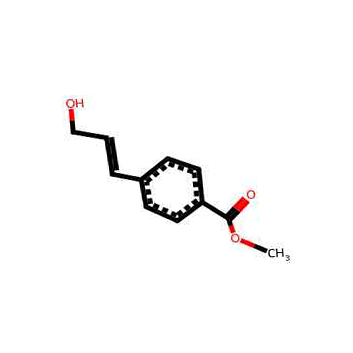 COC(=O)c1ccc(C=CCO)cc1